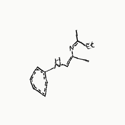 CC/C(C)=N\C(C)=C/Nc1ccccc1